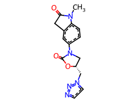 CN1C(=O)Cc2cc(N3C[C@H](Cn4ccnn4)OC3=O)ccc21